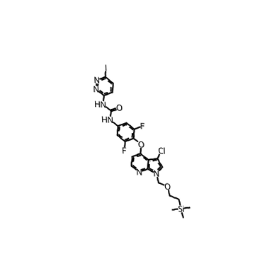 C[Si](C)(C)CCOCn1cc(Cl)c2c(Oc3c(F)cc(NC(=O)Nc4ccc(I)nn4)cc3F)ccnc21